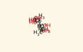 CC1=C(/C=C/C2=C[C@H](O)C[C@]3(C)[C@@H]([C@@H](C)O)CC[C@@H]23)CC(O)(O)C(O)(O)C1